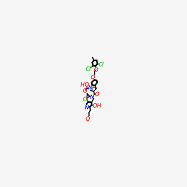 COCCCc1ncc(Cl)c(CN(C(=O)C(CNC(=O)O)Cc2ccc(OCCOc3c(Cl)cc(C)cc3Cl)cc2)C2CC2)c1O